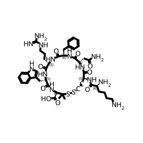 CC1(C)SSCC[C@H](NC(=O)[C@H](N)CCCCN)C(=O)N[C@@H](CC(N)=O)C(=O)N[C@H](Cc2ccccc2)C(=O)N[C@@H](CCCNC(=N)N)C(=O)N[C@@H](Cc2c[nH]c3ccccc23)C(=O)N[C@@H]1C(=O)O